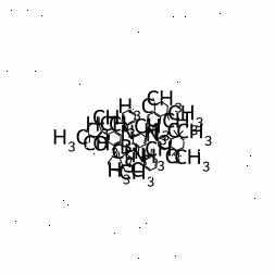 Cc1cccc(C)c1N1C2=C(B3c4cc5oc6c(c5cc4N(c4c(C)cccc4C)c4cc(N(c5ccc7c(c5)C(C)(C)CCC7(C)C)c5ccc7c(c5)C(C)(C)CCC7(C)C)cc1c43)C(C)(C)CCC6(C)C)C1(C)CCCCC1(C)S2